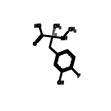 CN[C@@](C)(Cc1ccc(F)c(O)c1)C(=O)O